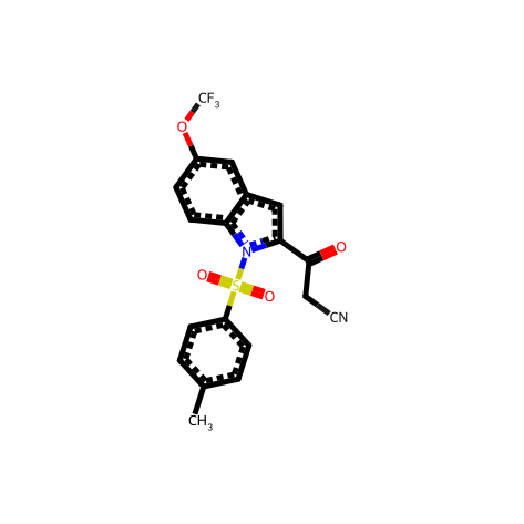 Cc1ccc(S(=O)(=O)n2c(C(=O)CC#N)cc3cc(OC(F)(F)F)ccc32)cc1